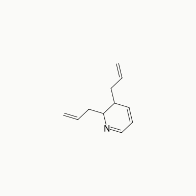 C=CCC1C=CC=NC1CC=C